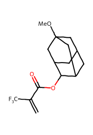 C=C(C(=O)OC1C2CC3CC1CC(OC)(C3)C2)C(F)(F)F